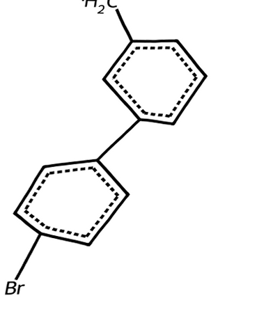 [CH2]c1cccc(-c2ccc(Br)cc2)c1